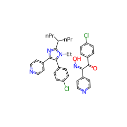 CCCC(CCC)c1nc(-c2ccncc2)c(-c2ccc(Cl)cc2)n1CC.O=C(C(=NO)c1ccncc1)c1ccc(Cl)cc1